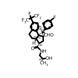 C[C@@H](O)CNC(=O)[C@@H]1CC(C=O)[C@]2(S(=O)(=O)c3ccc(F)cc3)c3ccc(C(F)(C(F)(F)F)C(F)(F)F)cc3CC[C@@H]12